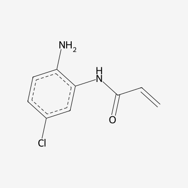 C=CC(=O)Nc1cc(Cl)ccc1N